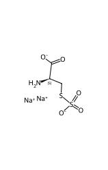 N[C@H](CSS(=O)(=O)[O-])C(=O)[O-].[Na+].[Na+]